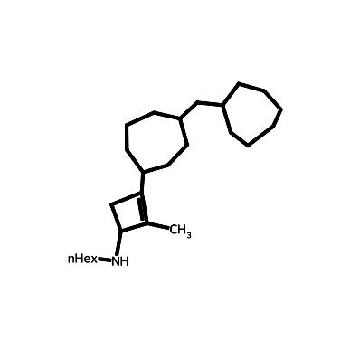 CCCCCCNC1CC(C2CCCC(CC3CCCCCC3)CC2)=C1C